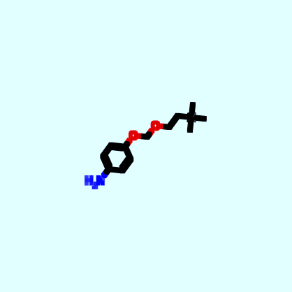 C[Si](C)(C)CCOCOc1ccc(N)cc1